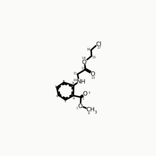 COC(=O)c1ccccc1NCC(=O)OCCCl